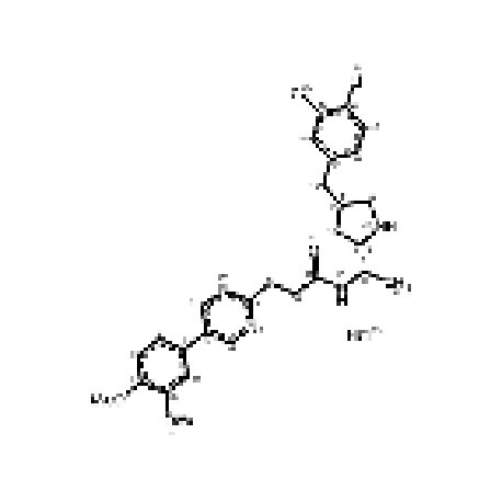 COc1ccc(-c2cnc(CCC(=O)NC(C)[C@@H]3C[C@@H](Cc4ccc(Cl)c(Cl)c4)CN3)nc2)cc1OC.Cl